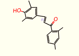 Cc1ccc(C(=O)/C=C/c2cc(C)c(O)c(C)c2)c(C)c1